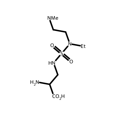 CCN(CCNC)S(=O)(=O)NCC(N)C(=O)O